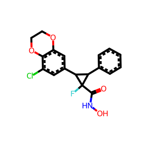 O=C(NO)C1(F)C(c2ccccc2)C1c1cc(Cl)c2c(c1)OCCO2